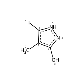 Cc1c(O)n[nH]c1I